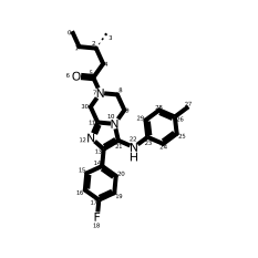 CC[C@H](C)CC(=O)N1CCn2c(nc(-c3ccc(F)cc3)c2Nc2ccc(C)cc2)C1